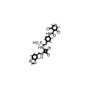 O=C(Nc1ccc(C[C@H](Nc2c(NCc3ccc4c(c3)OCO4)c(=O)c2=O)C(=O)O)cc1)c1c(Cl)cncc1Cl